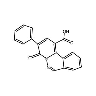 O=C(O)c1cc(-c2ccccc2)c(=O)n2ncc3ccccc3c12